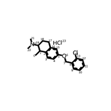 CC1c2ccc(OCc3ccccc3Cl)cc2CCC1N(C)C.Cl